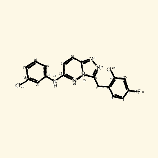 Fc1ccc(Cc2nnc3ccc(Nc4cccc(Cl)c4)nn23)c(Cl)c1